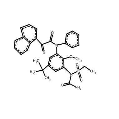 CCS(=O)(=O)N(C(N)=O)c1cc(C(C)(C)C)cc(N(C(=O)C(=O)c2cccc3ccccc23)c2ccccc2)c1OC